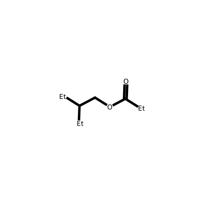 [CH2]CC(=O)OCC(CC)CC